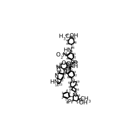 CC(C)c1ccccc1[C@@H]1CC[C@@](C)(O)CN1C1CC2(CCN(c3ccc(C(=O)NS(=O)(=O)c4ccc(NC[C@H]5CC[C@](C)(O)CC5)c([N+](=O)[O-])c4)c(N4c5cc6cc[nH]c6nc5O[C@H]5COCC[C@@H]54)c3)CC2)C1